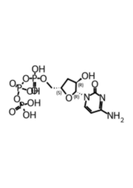 Nc1ccn([C@@H]2O[C@H](COP(=O)(O)OP(=O)(O)OP(=O)(O)O)C[C@H]2O)c(=O)n1